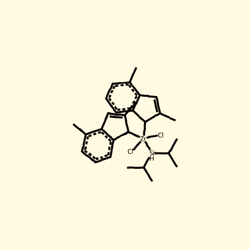 CC1=Cc2c(C)cccc2[CH]1[Zr]([Cl])([Cl])([CH]1C(C)=Cc2c(C)cccc21)[SiH](C(C)C)C(C)C